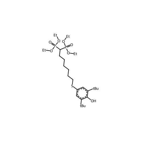 CCOP(=O)(OCC)C(CCCCCCSc1cc(C(C)(C)C)c(O)c(C(C)(C)C)c1)P(=O)(OCC)OCC